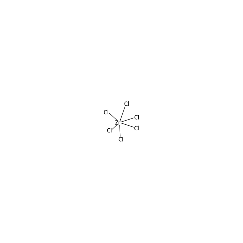 [Cl][Zr]([Cl])([Cl])([Cl])([Cl])[Cl]